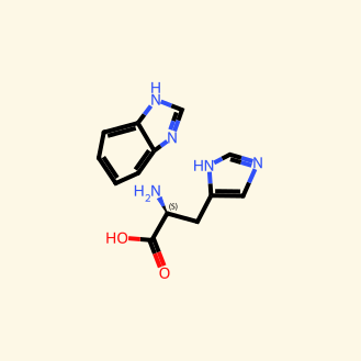 N[C@@H](Cc1cnc[nH]1)C(=O)O.c1ccc2[nH]cnc2c1